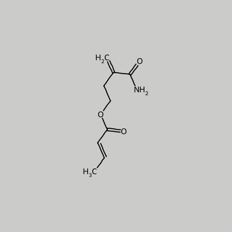 C=C(CCOC(=O)C=CC)C(N)=O